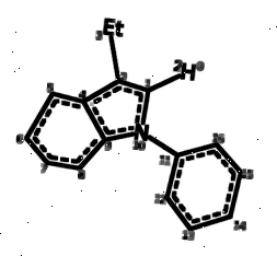 [2H]c1c(CC)c2ccccc2n1-c1ccccc1